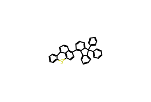 c1ccc(C2(c3ccccc3)c3ccccc3-c3c(-c4ccc5c6c(cccc46)-c4ccccc4S5)cccc32)cc1